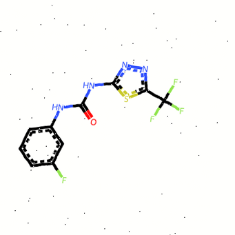 O=C(Nc1cccc(F)c1)Nc1nnc(C(F)(F)F)s1